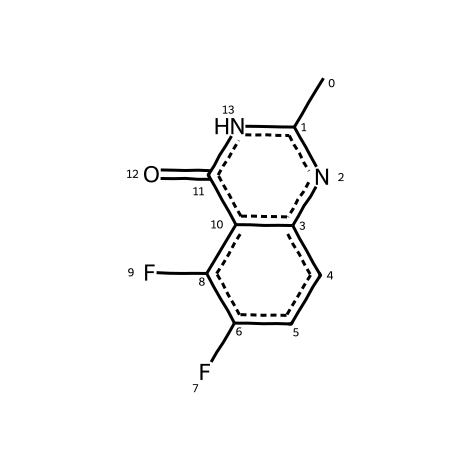 Cc1nc2ccc(F)c(F)c2c(=O)[nH]1